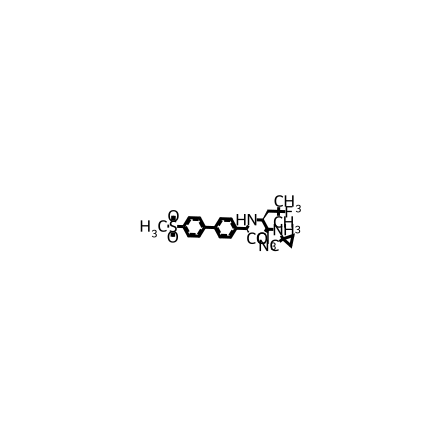 CC(C)(F)C[C@H](N[C@@H](c1ccc(-c2ccc(S(C)(=O)=O)cc2)cc1)C(Cl)(Cl)Cl)C(=O)NC1(C#N)CC1